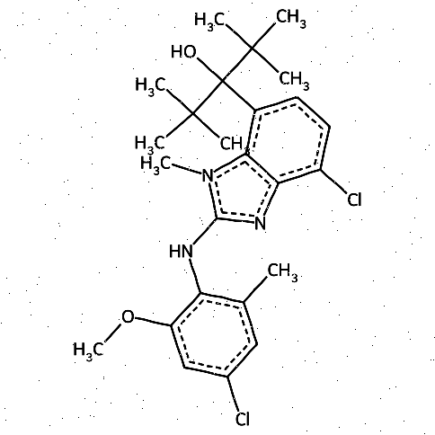 COc1cc(Cl)cc(C)c1Nc1nc2c(Cl)ccc(C(O)(C(C)(C)C)C(C)(C)C)c2n1C